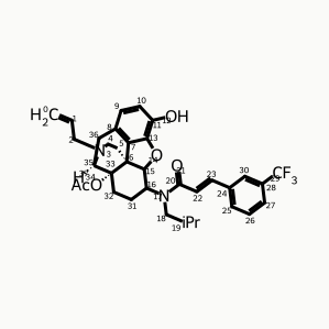 C=CCN1CC[C@]23c4c5ccc(O)c4OC2C(N(CC(C)C)C(=O)/C=C/c2cccc(C(F)(F)F)c2)CC[C@@]3(OC(C)=O)[C@H]1C5